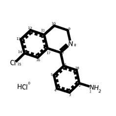 Cl.Nc1cccc(C2=NCCc3ccc(Cl)cc32)c1